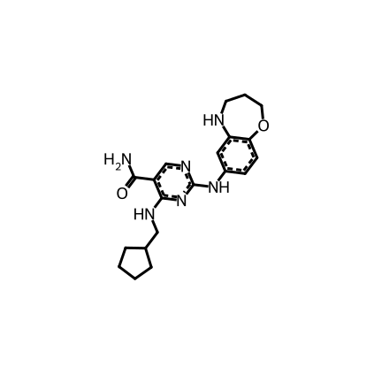 NC(=O)c1cnc(Nc2ccc3c(c2)NCCCO3)nc1NCC1CCCC1